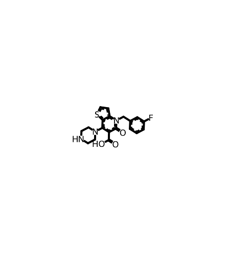 O=C(O)c1c(N2CCNCC2)c2sccc2n(Cc2cccc(F)c2)c1=O